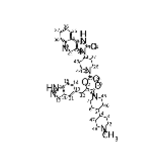 CN1CCC(C2CCN(C(=O)[C@@H](Cc3ccc4[nH]ncc4c3)OC(=O)N3CCC(n4c(=O)[nH]c5c6ccccc6ncc54)CC3)CC2)CC1